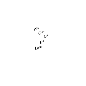 [La+3].[Li+].[O-2].[Ti+4].[Y+3]